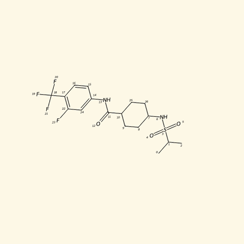 CC(C)S(=O)(=O)NC1CCC(C(=O)Nc2ccc(C(F)(F)F)c(F)c2)CC1